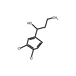 CCCC(O)c1ccc(Cl)c(Cl)c1